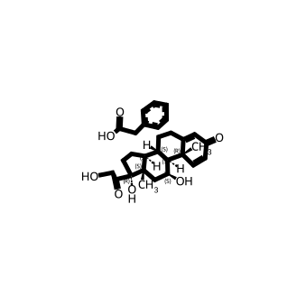 C[C@]12C=CC(=O)C=C1CC[C@@H]1[C@@H]2[C@@H](O)C[C@@]2(C)[C@H]1CC[C@]2(O)C(=O)CO.O=C(O)Cc1ccccc1